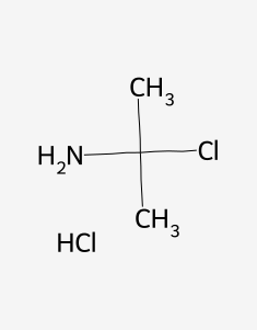 CC(C)(N)Cl.Cl